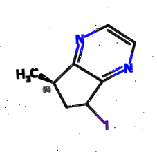 C[C@@H]1CC(I)c2nccnc21